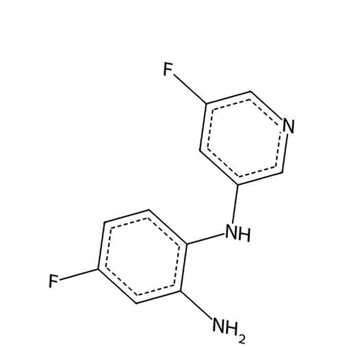 Nc1cc(F)ccc1Nc1cncc(F)c1